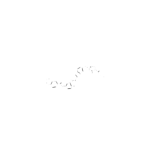 CC(C)(C)OC(=O)N1C[C@@H]2C[C@H]1CN2Cc1ccc2cc(C(=O)Nc3cc(NC(=O)c4ccc5c(c4)OCCO5)ccc3F)sc2c1